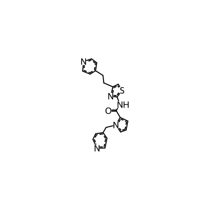 O=C(Nc1nc(CCc2ccncc2)cs1)c1cccn1Cc1ccncc1